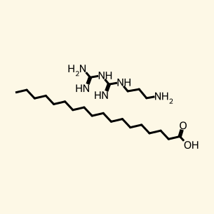 CCCCCCCCCCCCCCCCCC(=O)O.N=C(N)NC(=N)NCCCN